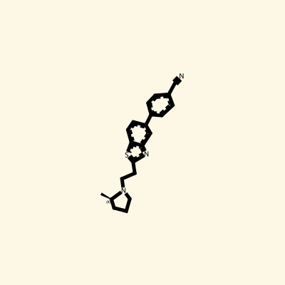 C[C@@H]1CCCN1CCc1nc2cc(-c3ccc(C#N)cc3)ccc2s1